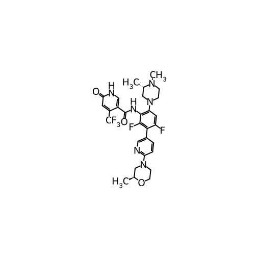 C[C@H]1CN(c2ccc(-c3c(F)cc(N4CCN(C)[C@@H](C)C4)c(NC(=O)c4c[nH]c(=O)cc4C(F)(F)F)c3F)cn2)CCO1